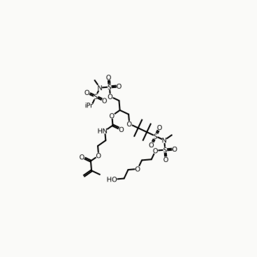 C=C(C)C(=O)OCCNC(=O)OC(COC(C)(C)C(C)(C)S(=O)(=O)N(C)S(=O)(=O)OCCOCCO)COS(=O)(=O)N(C)S(=O)(=O)C(C)C